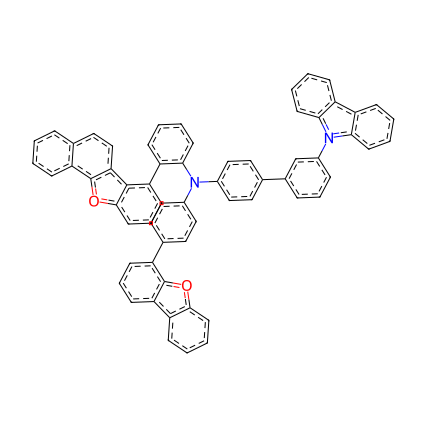 c1cc(-c2ccc(N(c3ccc(-c4cccc5c4oc4ccccc45)cc3)c3ccccc3-c3cccc4oc5c6ccccc6ccc5c34)cc2)cc(-n2c3ccccc3c3ccccc32)c1